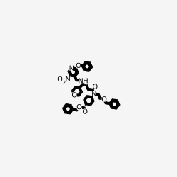 O=C(CC[C@H](NCc1cc(Oc2ccccc2)ncc1[N+](=O)[O-])C1CCOCC1)N(CCOCc1ccccc1)[C@H]1CC[C@@H](C(=O)OCc2ccccc2)CC1